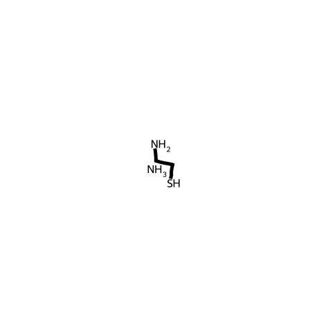 N.NCCS